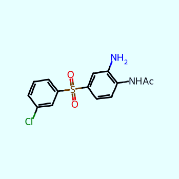 CC(=O)Nc1ccc(S(=O)(=O)c2cccc(Cl)c2)cc1N